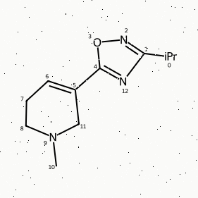 CC(C)c1noc(C2=CCCN(C)C2)n1